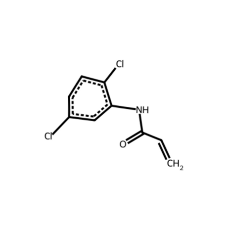 C=CC(=O)Nc1cc(Cl)ccc1Cl